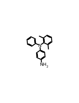 Cc1cccc(C)c1N(c1ccccc1)c1ccc(N)cc1